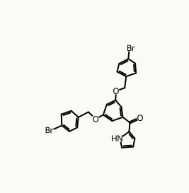 O=C(c1cc(OCc2ccc(Br)cc2)cc(OCc2ccc(Br)cc2)c1)c1ccc[nH]1